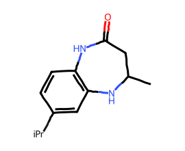 CC1CC(=O)Nc2ccc(C(C)C)cc2N1